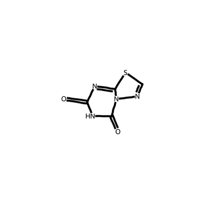 O=c1nc2scnn2c(=O)[nH]1